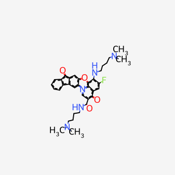 CN(C)CCCCNC(=O)c1cn2c3cc4c(cc3oc3c(NCCCCN(C)C)c(F)cc(c1=O)c32)c(=O)c1ccccc14